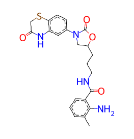 Cc1cccc(C(=O)NCCCC2CN(c3ccc4c(c3)NC(=O)CS4)C(=O)O2)c1N